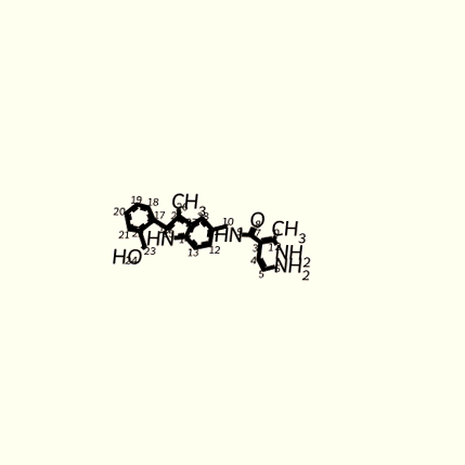 C/C(N)=C(/C=C\N)C(=O)NCc1ccc2[nH]c(-c3ccccc3CO)c(C)c2c1